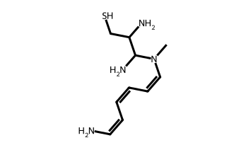 CN(\C=C/C=C\C=C/N)C(N)C(N)CS